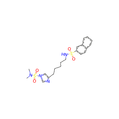 CN(C)S(=O)(=O)n1cnc(CCCCCNS(=O)(=O)c2ccc3ccccc3c2)c1